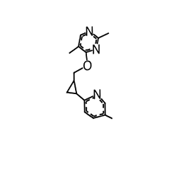 Cc1ccc(C2CC2COc2nc(C)ncc2C)nc1